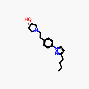 CCCCc1ccn(-c2ccc(CCN3CC[C@H](O)C3)cc2)n1